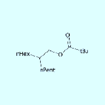 CCCCCCC(CCCCC)COC(=O)C(C)(C)C